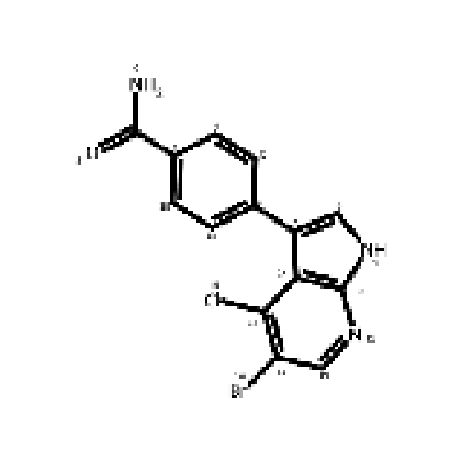 NC(=O)c1ccc(-c2c[nH]c3ncc(Br)c(Cl)c23)cc1